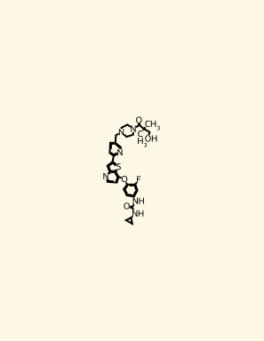 CC(C)(CO)C(=O)N1CCN(Cc2ccc(-c3cc4nccc(Oc5ccc(NC(=O)NC6CC6)cc5F)c4s3)nc2)CC1